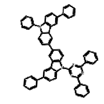 C1=CC2C(C=C1c1ccc3c(c1)c1cc(-c4ccccc4)ccc1n3-c1nc(-c3ccccc3)nc(-c3ccccc3)n1)c1cc(-c3ccccc3)ccc1N2c1ccccc1